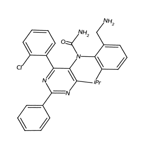 Cc1nc(-c2ccccc2)nc(-c2ccccc2Cl)c1N(C(N)=O)c1c(CN)cccc1C(C)C